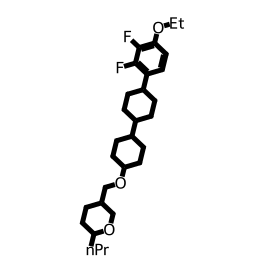 CCCC1CCC(COC2CCC(C3CCC(c4ccc(OCC)c(F)c4F)CC3)CC2)CO1